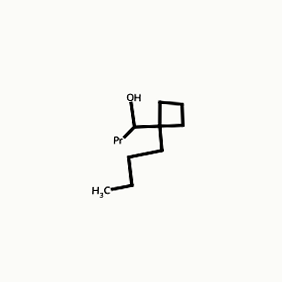 CCCCC1([CH](O)[Pr])CCC1